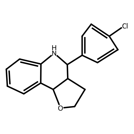 Clc1ccc(C2Nc3ccccc3C3OCCC23)cc1